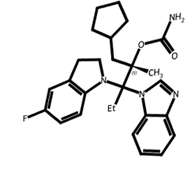 CCC(N1CCc2cc(F)ccc21)(n1cnc2ccccc21)[C@](C)(CC1CCCC1)OC(N)=O